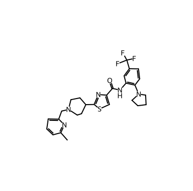 Cc1cccc(CN2CCC(c3nc(C(=O)Nc4cc(C(F)(F)F)ccc4N4CCCC4)cs3)CC2)n1